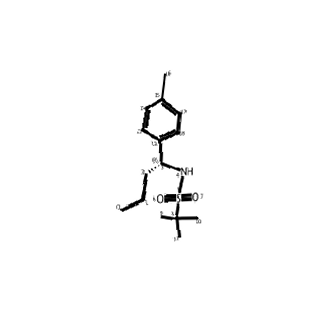 CCC[C@@H](NS(=O)(=O)C(C)(C)C)c1ccc(C)cc1